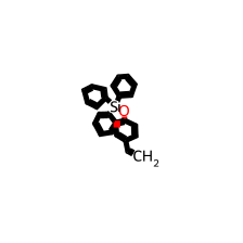 C=Cc1ccc(O[Si](c2ccccc2)(c2ccccc2)c2ccccc2)cc1